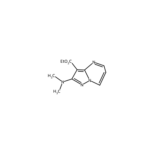 CCOC(=O)c1c(N(C)C)nn2cccnc12